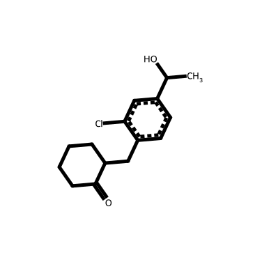 CC(O)c1ccc(CC2CCCCC2=O)c(Cl)c1